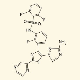 Nc1nccc(-c2sc(-c3cnccn3)nc2-c2cccc(NS(=O)(=O)c3c(F)cccc3F)c2F)n1